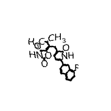 CC(C)C(Cc1ccc(-c2ccc3cccc(F)c3c2)[nH]c1=O)=C1OC(=O)NC1=O